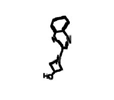 OC1CN(c2cnc3ccccc3n2)C1